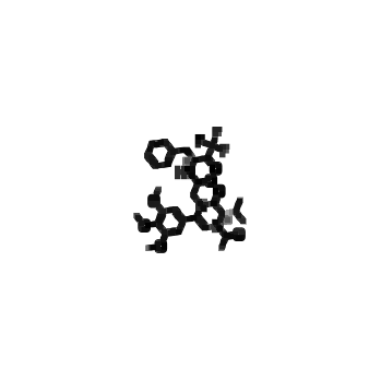 COc1cc(C2=CN(C(C)=O)[C@@H](C(C)C)C(=O)N2CC(=O)N[C@@H](Cc2ccccc2)C(=O)C(F)(F)F)cc(OC)c1OC